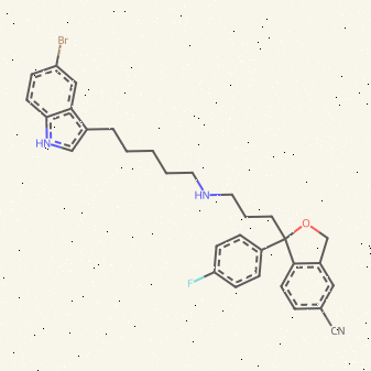 N#Cc1ccc2c(c1)COC2(CCCNCCCCCc1c[nH]c2ccc(Br)cc12)c1ccc(F)cc1